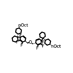 CCCCCCCC[C@H]1CC[C@H](C2([C@@]3(F)C=C[C@@H](COC[C@@H]4C=C[C@](F)(C5([C@H]6CC[C@H](CCCCCCCC)CC6)CCCCC5)C(F)=C4F)C(F)=C3F)CCCCC2)CC1